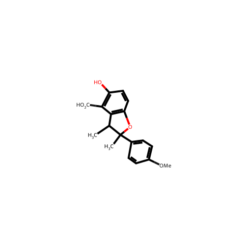 COc1ccc(C2(C)Oc3ccc(O)c(C(=O)O)c3C2C)cc1